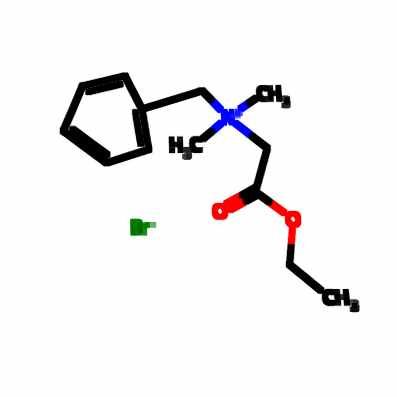 CCOC(=O)C[N+](C)(C)Cc1ccccc1.[Br-]